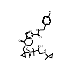 CC1(NCC(O)C(C)(C)S(=O)(=O)C2(CN3CCn4c(cnc4C(=O)NCc4ccc(Cl)cc4)C3=O)CC2)CC1